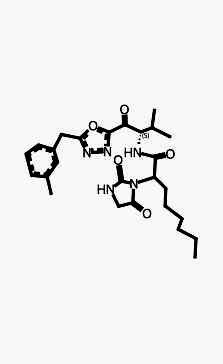 CCCCCCC(C(=O)N[C@H](C(=O)c1nnc(Cc2cccc(C)c2)o1)C(C)C)N1C(=O)CNC1=O